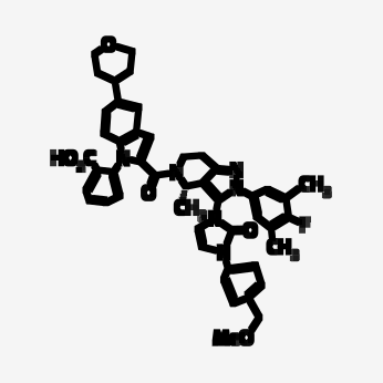 COCc1ccc(-n2ccn(-c3c4c(nn3-c3cc(C)c(F)c(C)c3)CCN(C(=O)c3cc5cc(C6CCOCC6)ccc5n3-c3ccccc3C(=O)O)[C@H]4C)c2=O)cc1